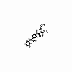 CC(C)ON=Cc1c(N)ncnc1Nc1ccc2c(cnn2Cc2cccc(F)c2)c1